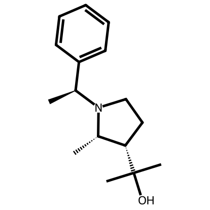 C[C@@H](c1ccccc1)N1CC[C@H](C(C)(C)O)[C@@H]1C